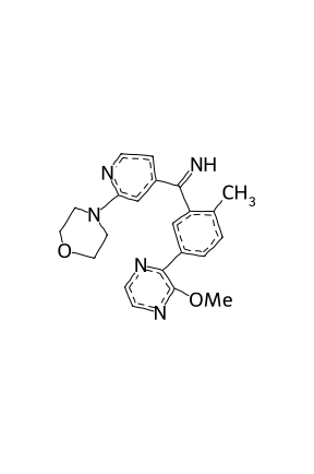 COc1nccnc1-c1ccc(C)c(C(=N)c2ccnc(N3CCOCC3)c2)c1